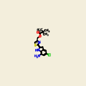 CC(C)(C)C(=O)OC[C@@H]1CSC(c2cc3cc(Cl)cc(N)c3[nH]2)=N1